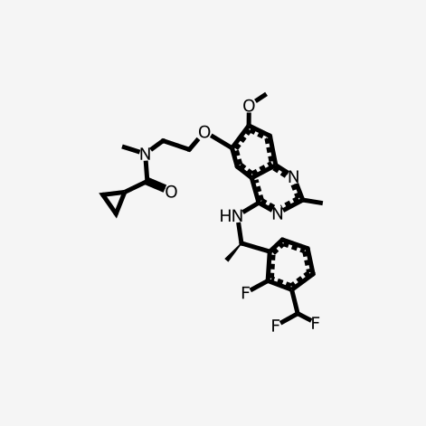 COc1cc2nc(C)nc(N[C@H](C)c3cccc(C(F)F)c3F)c2cc1OCCN(C)C(=O)C1CC1